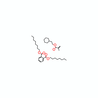 C=C(C)C(=O)OCCC1CCCCC1.CCCCCCCCOC(=O)c1ccccc1C(=O)OCCCCCCCC